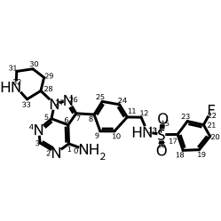 Nc1ncnc2c1c(-c1ccc(CNS(=O)(=O)c3cccc(F)c3)cc1)nn2C1CCCNC1